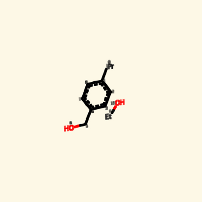 CC(C)c1ccc(CO)cc1.CCO